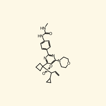 C=CC(C1CC1)S(=O)(=O)C1(c2cc(N3CCOCC3)nc(-c3ccc(NC(=O)NC)cc3)n2)CCC1